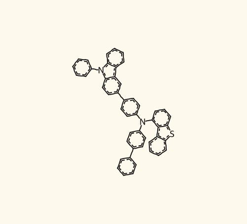 c1ccc(-c2ccc(N(c3ccc(-c4ccc5c(c4)c4ccccc4n5-c4ccccc4)cc3)c3cccc4sc5ccccc5c34)cc2)cc1